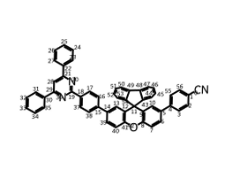 N#Cc1ccc(-c2ccc3c(c2)C2(c4cc(-c5ccc(-c6nc(-c7ccccc7)cc(-c7ccccc7)n6)cc5)ccc4O3)c3ccccc3-c3ccccc32)cc1